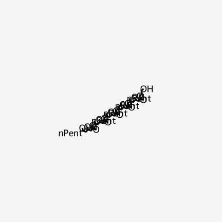 CCCCCC(O)CC(O)CC(=O)OC(CCCCC)CC(O)CC(=O)OC(CCCCC)CC(O)CC(=O)OC(CCCCC)CC(O)CC(=O)OC(CCCCC)CC(O)CC(=O)OCCO